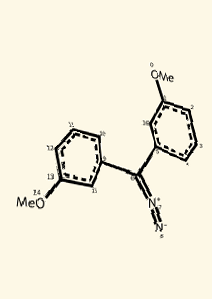 COc1cccc(C(=[N+]=[N-])c2cccc(OC)c2)c1